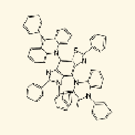 c1ccc(-c2nc3c(N4c5ccccc5N(c5ccccc5)c5ccccc54)c4c(nc(-c5ccccc5)n4-c4ccccc4)c(N4c5ccccc5N(c5ccccc5)c5ccccc54)c3s2)cc1